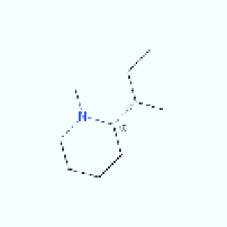 CCC(C)[C@@H]1CCCCN1C